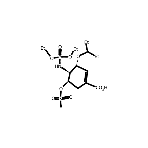 CCOP(=O)(N[C@H]1[C@H](OC(CC)CC)C=C(C(=O)O)C[C@H]1OS(C)(=O)=O)OCC